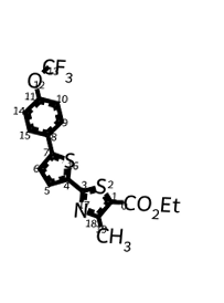 CCOC(=O)c1sc(-c2ccc(-c3ccc(OC(F)(F)F)cc3)s2)nc1C